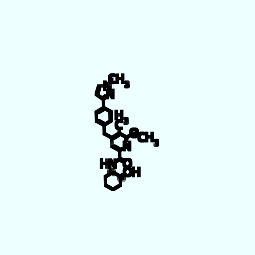 COc1nc(C(=O)N[C@H]2CCCC[C@@H]2O)cc(Cc2ccc(-c3ccn(C)n3)cc2)c1C